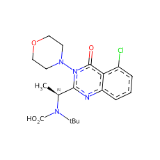 C[C@@H](c1nc2cccc(Cl)c2c(=O)n1N1CCOCC1)N(C(=O)O)C(C)(C)C